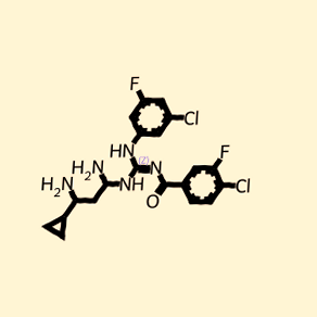 NC(CC(N)C1CC1)N/C(=N\C(=O)c1ccc(Cl)c(F)c1)Nc1cc(F)cc(Cl)c1